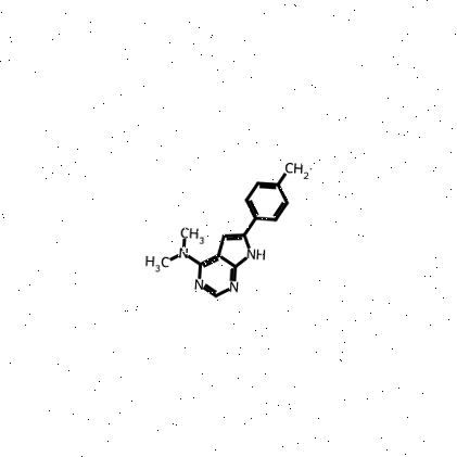 [CH2]c1ccc(-c2cc3c(N(C)C)ncnc3[nH]2)cc1